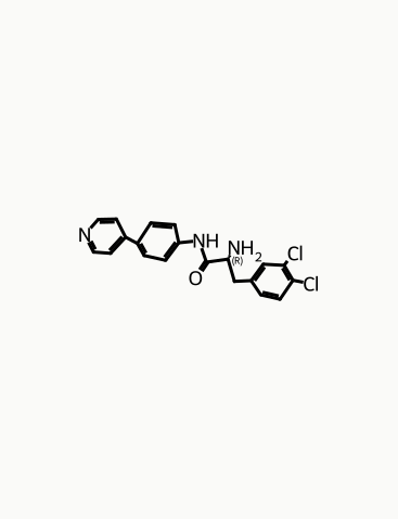 N[C@H](Cc1ccc(Cl)c(Cl)c1)C(=O)Nc1ccc(-c2ccncc2)cc1